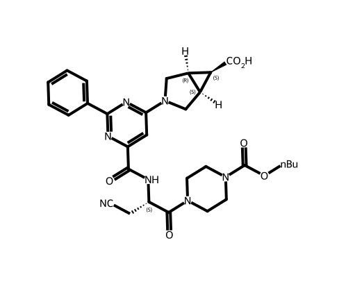 CCCCOC(=O)N1CCN(C(=O)[C@H](CC#N)NC(=O)c2cc(N3C[C@@H]4[C@H](C3)[C@@H]4C(=O)O)nc(-c3ccccc3)n2)CC1